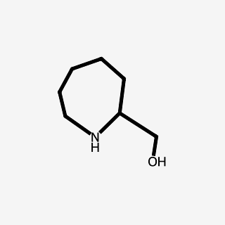 OCC1CCCCCN1